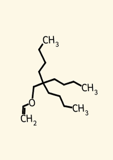 C=COCC(CCCC)(CCCC)CCCC